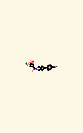 CC(C)c1ccc(C2CC3(C2)CN(C(=O)C2CC(C)(O)C2)C3)cc1